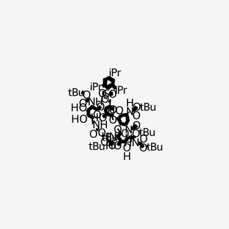 CC(C)c1cc(C(C)C)c(S(=O)(=O)OC[C@H]2O[C@@H](OC3C(O)[C@H](NC(=O)OC(C)(C)C)CC(NC(=O)OC(C)(C)C)[C@H]3O[C@H]3OC(CNC(=O)OC(C)(C)C)[C@@H](O)C(O)C3NC(=O)OC(C)(C)C)C(O)C2OC2O[C@@H](CNC(=O)OC(C)(C)C)C(O)C(O)[C@H]2NC(=O)OC(C)(C)C)c(C(C)C)c1